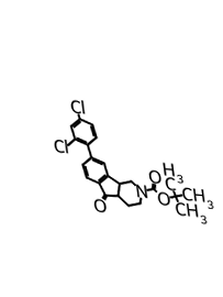 CC(C)(C)OC(=O)N1CCC2C(=O)c3ccc(-c4ccc(Cl)cc4Cl)cc3C2C1